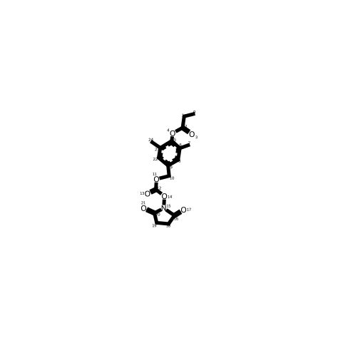 CCC(=O)Oc1c(C)cc(COC(=O)ON2C(=O)CCC2=O)cc1C